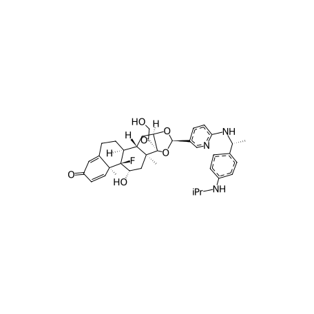 CC(C)Nc1ccc([C@@H](C)Nc2ccc([C@@H]3O[C@@H]4C[C@H]5[C@@H]6CCC7=CC(=O)C=C[C@]7(C)[C@@]6(F)[C@@H](O)C[C@]5(C)[C@]4(C(=O)CO)O3)cn2)cc1